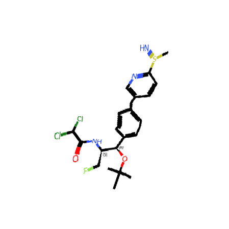 CS(=N)c1ccc(-c2ccc([C@@H](OC(C)(C)C)[C@@H](CF)NC(=O)C(Cl)Cl)cc2)cn1